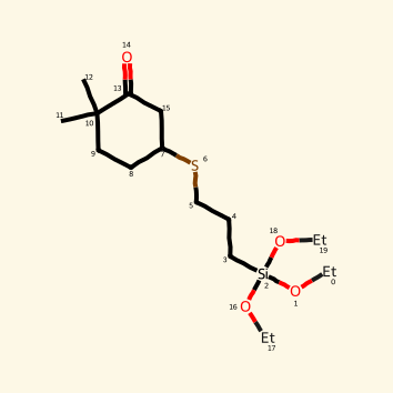 CCO[Si](CCCSC1CCC(C)(C)C(=O)C1)(OCC)OCC